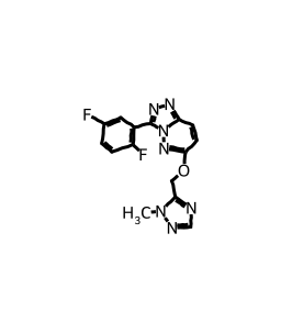 Cn1ncnc1COc1ccc2nnc(-c3cc(F)ccc3F)n2n1